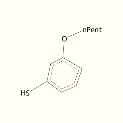 CCCCCOc1cccc(S)c1